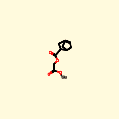 CC(C)(C)OC(=O)COC(=O)C1CC2=CCC1C2